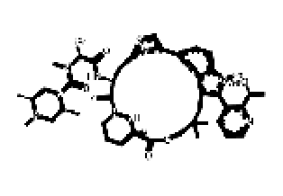 CCn1c(-c2cccnc2[C@H](C)OC)c2c3cc(ccc31)-c1csc(n1)C[C@H](NC(=O)[C@H](C(C)C)N(C)C(=O)N1C[C@H](C)N(C)C[C@@H]1C)C(=O)N1CCC[C@H](N1)C(=O)OCC(C)(C)C2